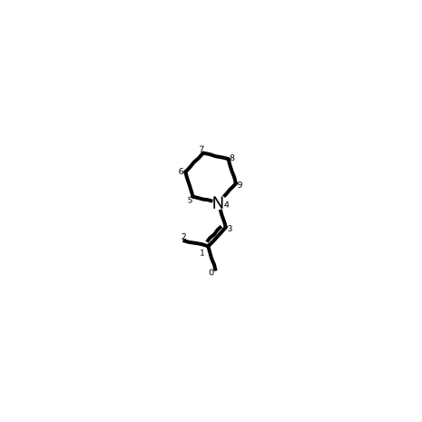 CC(C)=CN1CCCCC1